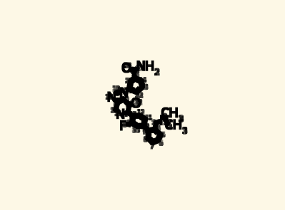 CN(C)Cc1ccccc1-c1ccc(C2N=Cc3ncn(-c4cccc(C(N)=O)c4)c3C2=O)c(F)c1